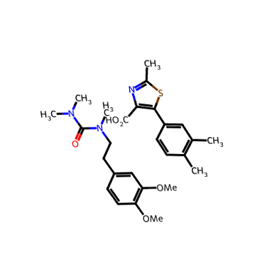 COc1ccc(CCN(C)C(=O)N(C)C)cc1OC.Cc1nc(C(=O)O)c(-c2ccc(C)c(C)c2)s1